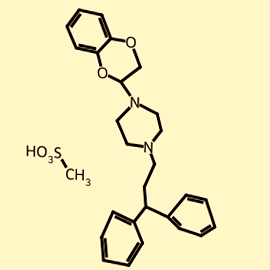 CS(=O)(=O)O.c1ccc(C(CCN2CCN(C3COc4ccccc4O3)CC2)c2ccccc2)cc1